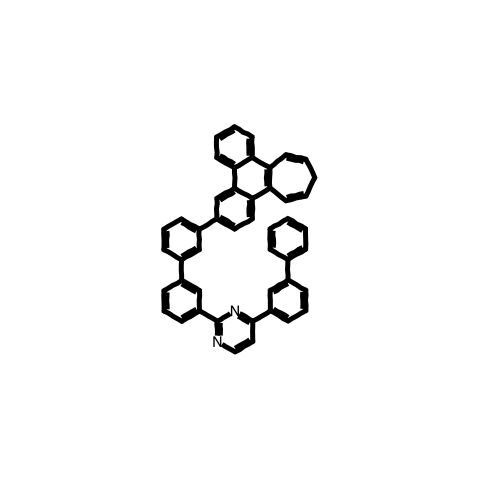 C1=Cc2c(c3ccc(-c4cccc(-c5cccc(-c6nccc(-c7cccc(-c8ccccc8)c7)n6)c5)c4)cc3c3ccccc23)C=CC1